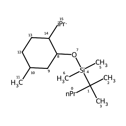 CCCC(C)(C)[Si](C)(C)OC1CC(C)CCC1[C](C)C